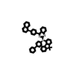 CC1(C)c2ccccc2-c2c(N(c3ccc(-c4ccccc4)cc3)c3nc(-c4ccc(-c5cccc6ccccc56)cc4)c4ccccc4n3)cccc21